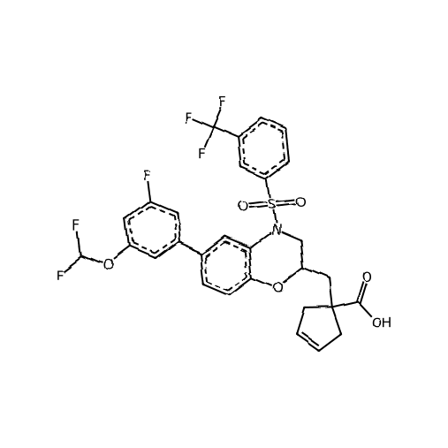 O=C(O)C1(CC2CN(S(=O)(=O)c3cccc(C(F)(F)F)c3)c3cc(-c4cc(F)cc(OC(F)F)c4)ccc3O2)CC=CC1